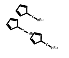 CCC[CH2][Y][CH]1C=CC=C1.CCC[CH2][Y][CH]1C=CC=C1.CCC[CH2][Y][CH]1C=CC=C1